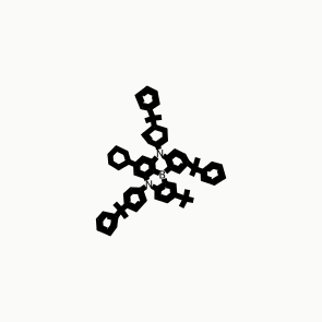 CC(C)(C)c1ccc2c(c1)B1c3cc(C(C)(C)c4ccccc4)ccc3N(C3=CCC(C(C)(C)c4ccccc4)C=C3)c3cc(C4CCCCC4)cc(c31)N2c1ccc(C(C)(C)c2ccccc2)cc1